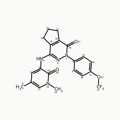 Cc1cc(Nc2nn(-c3ccc(OC(F)(F)F)cc3)c(=O)c3c2CCC3)c(=O)n(C)c1